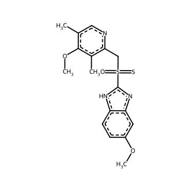 COc1ccc2[nH]c(S(=O)(=S)Cc3ncc(C)c(OC)c3C)nc2c1